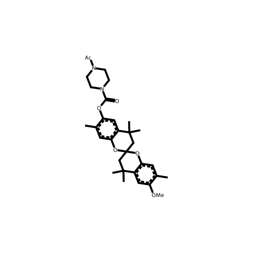 COc1cc2c(cc1C)OC1(CC2(C)C)CC(C)(C)c2cc(OC(=O)N3CCN(C(C)=O)CC3)c(C)cc2O1